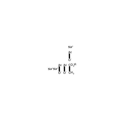 CC(=O)O.CC(=O)[O-].CC(=O)[O-].CC(=O)[O-].[Na+].[Na+].[Na+]